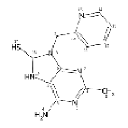 Cc1nc(N)c2c(n1)N(Cc1ccccn1)C(S)N2